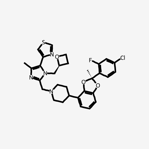 Cc1nc(CN2CCC(c3cccc4c3O[C@@](C)(c3ccc(Cl)cc3F)O4)CC2)n(C[C@@H]2CCO2)c1-c1cscn1